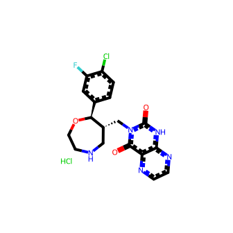 Cl.O=c1[nH]c2nccnc2c(=O)n1C[C@@H]1CNCCO[C@H]1c1ccc(Cl)c(F)c1